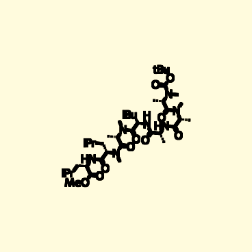 CC[C@H](C)[C@@H](NC(=O)[C@@H](C)NC(=O)[C@@H](C)N(C)C(=O)[C@H](C)N(C)C(=O)OC(C)(C)C)C(=O)N(C)[C@@H](C)C(=O)N(C)[C@@H](CC(C)C)C(=O)N[C@@H](CC(C)C)C(=O)OC